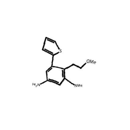 CNc1cc(N)cc(-c2cccs2)c1CCOC